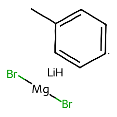 Cc1cc[c]cc1.[Br][Mg][Br].[LiH]